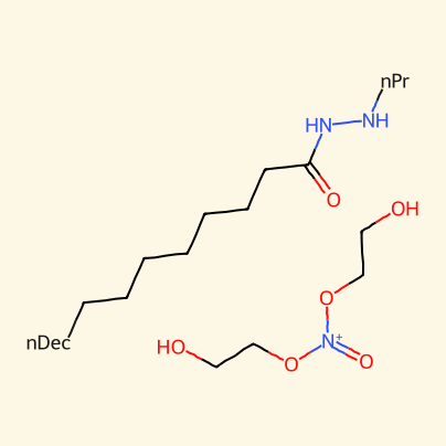 CCCCCCCCCCCCCCCCCC(=O)NNCCC.O=[N+](OCCO)OCCO